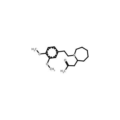 COc1ccc(CCN2CCCCCC2CC(C)=O)cc1OC